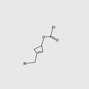 CCC(=O)OC1C=C(CBr)C1